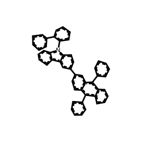 c1ccc(-c2ccccc2-n2c3ccccc3c3cc(-c4ccc5c(-c6ccccc6)c6ccccc6c(-c6ccccc6)c5c4)ccc32)cc1